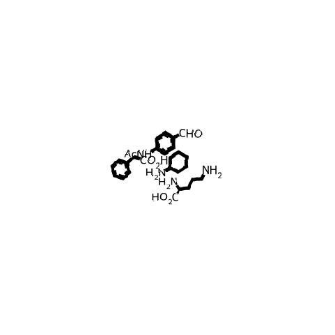 CC(=O)Nc1ccc(C=O)cc1.NC1CCCCC1.NCCC[C@H](N)C(=O)O.O=C(O)Cc1ccccc1